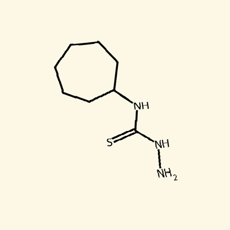 NNC(=S)NC1CCCCCC1